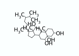 CC(C)C(C)CCC(C)C1CCC2C3CC(O)C4(O)CC(O)CCC4(C)C3CC(O)C12C